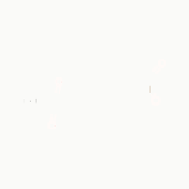 CCC(C)S(=O)(=O)CCCC[SH](=O)=O